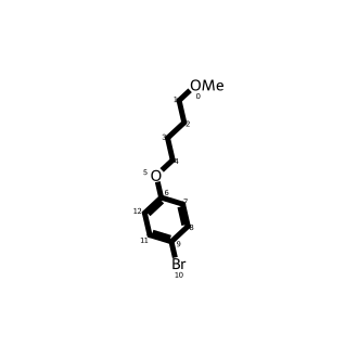 COCCCCOc1ccc(Br)cc1